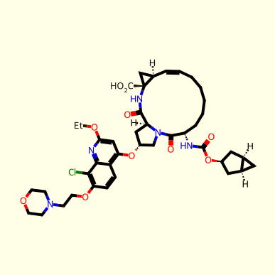 CCOc1cc(O[C@@H]2C[C@H]3C(=O)N[C@]4(C(=O)O)C[C@H]4/C=C\CCCCC[C@H](NC(=O)O[C@@H]4C[C@@H]5C[C@@H]5C4)C(=O)N3C2)c2ccc(OCCN3CCOCC3)c(Cl)c2n1